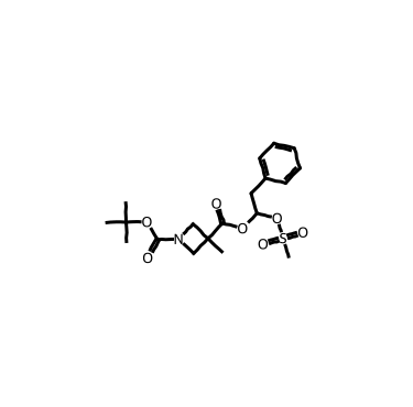 CC(C)(C)OC(=O)N1CC(C)(C(=O)OC(Cc2ccccc2)OS(C)(=O)=O)C1